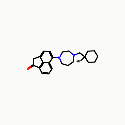 CCCC1(CN2CCCN(c3ccc4c5c(cccc35)C(=O)C4)CC2)CCCCC1